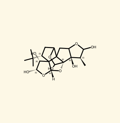 C[C@@H]1C(O)OC2CC34C5C[C@@H](C(C)(C)C)C36[C@@H](O[C@H](O)[C@@H]6O)O[C@@]4(C(O)O5)[C@]21O